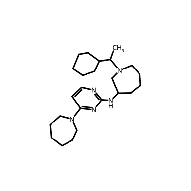 CC(C1CCCCC1)N1CCCCC(Nc2nccc(N3CCCCCC3)n2)C1